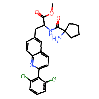 COC(=O)C(Cc1ccc2nc(-c3c(Cl)cccc3Cl)ccc2c1)NC(=O)C1(N)CCCC1